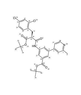 Cc1cc(-c2cc(NC(=O)[C@H](Cc3ccc(Cl)cc3Cl)C(=O)OC(C)(C)C)cc(C(=O)OC(C)(C)C)c2)ccn1